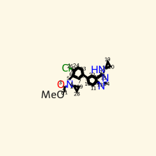 COCC(=O)N(Cc1cc(-c2ccc3ncnc(NC4CC4)c3c2)ccc1Cl)C1CC1